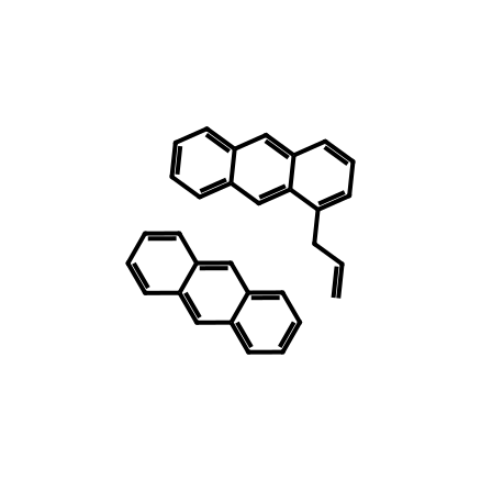 C=CCc1cccc2cc3ccccc3cc12.c1ccc2cc3ccccc3cc2c1